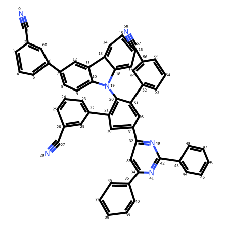 N#Cc1cccc(-c2ccc3c(c2)c2ccccc2n3-c2c(-c3cccc(C#N)c3)cc(-c3cc(-c4ccccc4)nc(-c4ccccc4)n3)cc2-c2cccc(C#N)c2)c1